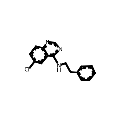 Clc1ccc2ncnc(NCCc3ccccc3)c2c1